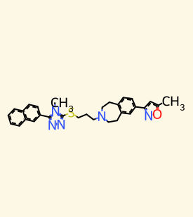 Cc1cc(-c2ccc3c(c2)CCN(CCCSc2nnc(-c4ccc5ccccc5c4)n2C)CC3)no1